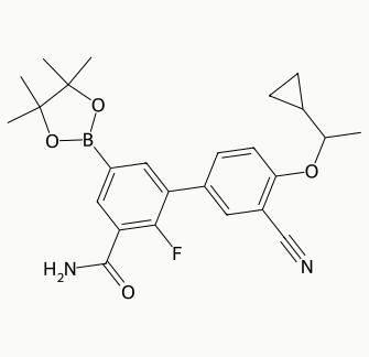 CC(Oc1ccc(-c2cc(B3OC(C)(C)C(C)(C)O3)cc(C(N)=O)c2F)cc1C#N)C1CC1